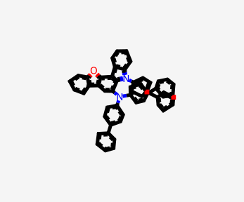 C1=C(c2ccccc2)CCC(n2c3ccccc3c3c4oc5ccccc5c4cc(N(c4ccc(-c5ccccc5)cc4)c4ccc(-c5ccccc5)cc4)c32)=C1